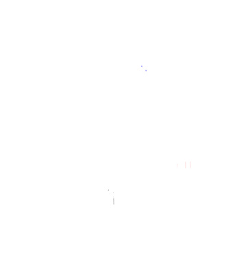 Oc1cc([AsH]c2ccccc2)cc(-c2cccc3[nH]ccc23)c1